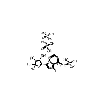 C[C@]1(C#N)O[C@@H](c2cc(F)c3c(N)ncnn23)[C@H](O)[C@@H]1O.O=P(O)(O)O.O=P(O)(O)O.O=P(O)(O)O